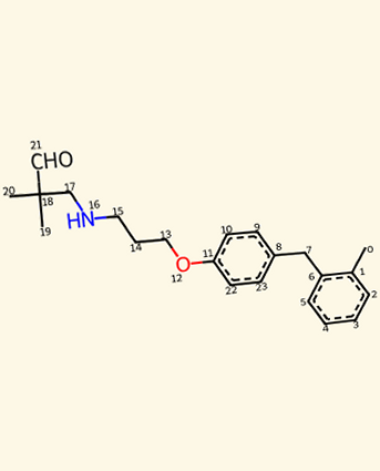 Cc1ccccc1Cc1ccc(OCCCNCC(C)(C)C=O)cc1